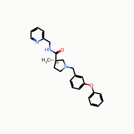 C[C@@]1(C(=O)NCc2ccccn2)CCN(Cc2cccc(Oc3ccccc3)c2)C1